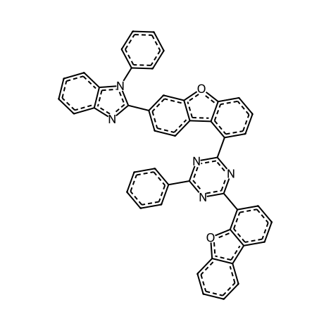 c1ccc(-c2nc(-c3cccc4c3oc3ccccc34)nc(-c3cccc4oc5cc(-c6nc7ccccc7n6-c6ccccc6)ccc5c34)n2)cc1